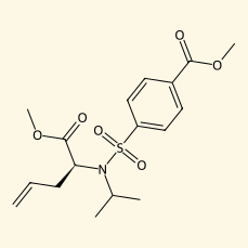 C=CC[C@@H](C(=O)OC)N(C(C)C)S(=O)(=O)c1ccc(C(=O)OC)cc1